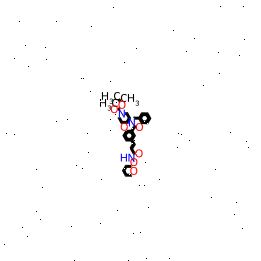 CC(C)(C)OC(=O)N1CCC2(CC1)Oc1ccc(C=CC(=O)NOC3CCCCO3)cc1C(=O)N2Cc1ccccc1